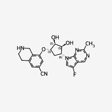 Cc1ncc2c(F)cn([C@@H]3C[C@H](Oc4cc(C#N)cc5c4CNCC5)[C@@H](O)[C@H]3O)c2n1